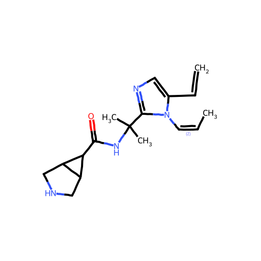 C=Cc1cnc(C(C)(C)NC(=O)C2C3CNCC32)n1/C=C\C